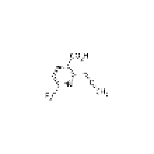 C=C=Cc1nc(C(F)(F)F)ccc1C(=O)O